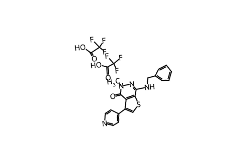 Cn1nc(NCc2ccccc2)c2scc(-c3ccncc3)c2c1=O.O=C(O)C(F)(F)F.O=C(O)C(F)(F)F